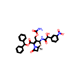 NC(=O)OCC1=C(C(=O)OC(c2ccccc2)c2ccccc2)N2C(=O)C[C@@H]2SC1NC(=O)C(O)c1cccc([N+](=O)[O-])c1